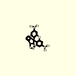 CCN(CC)c1ccc2c(c1)Oc1cc(N(CC)CC)ccc1C21c2ccccc2C2SN=NC21